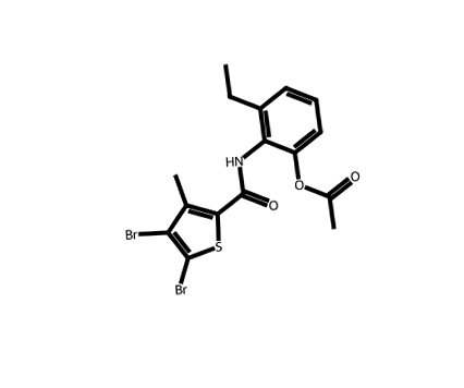 CCc1cccc(OC(C)=O)c1NC(=O)c1sc(Br)c(Br)c1C